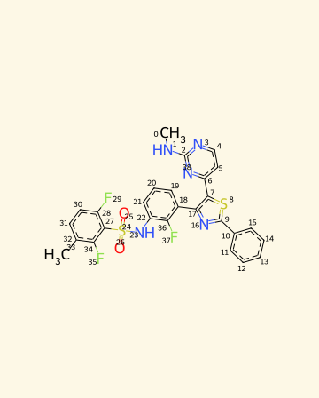 CNc1nccc(-c2sc(-c3ccccc3)nc2-c2cccc(NS(=O)(=O)c3c(F)ccc(C)c3F)c2F)n1